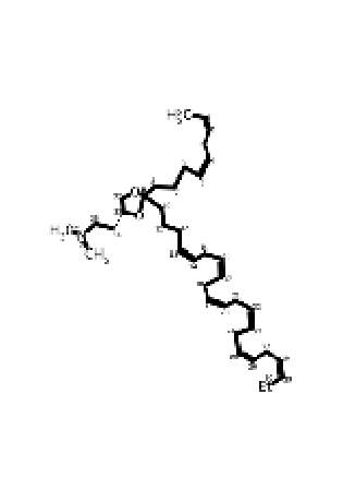 C/C=C\C/C=C\CCCC1(CCC/C=C\C/C=C\C/C=C\C/C=C\C/C=C\C/C=C\CC)OC[C@@H](CCN(C)C)O1